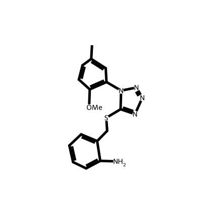 COc1ccc(C)cc1-n1nnnc1SCc1ccccc1N